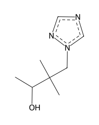 CC(O)C(C)(C)Cn1cncn1